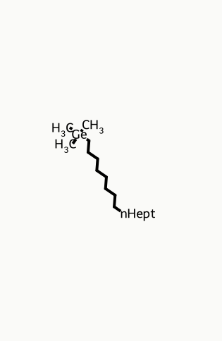 [CH2]CCCCCCCCCCCCC[CH2][Ge]([CH3])([CH3])[CH3]